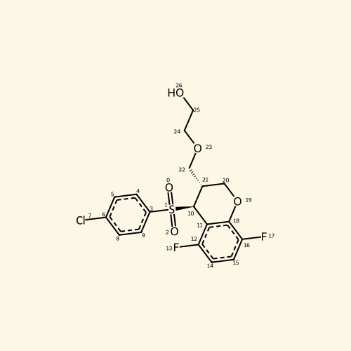 O=S(=O)(c1ccc(Cl)cc1)[C@@H]1c2c(F)ccc(F)c2OC[C@H]1COCCO